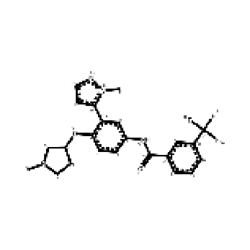 CN1CCC(Oc2ccc(NC(=O)c3cccc(C(F)(F)F)c3)cc2-c2ccnn2C)C1